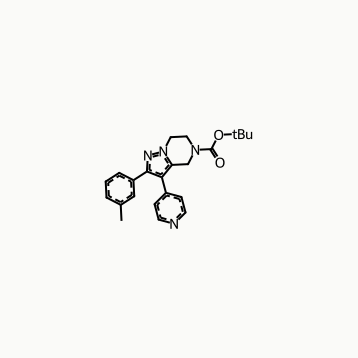 Cc1cccc(-c2nn3c(c2-c2ccncc2)CN(C(=O)OC(C)(C)C)CC3)c1